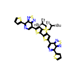 CCCCC(CC)CS1(CC(CC)CCCC)c2cc(-c3cnc(-c4cccs4)c4nsnc34)sc2-c2sc(-c3cnc(-c4cccs4)c4nsnc34)cc21